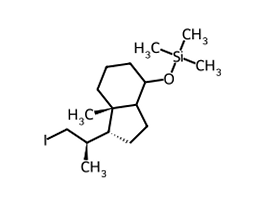 C[C@@H](CI)[C@H]1CCC2C(O[Si](C)(C)C)CCC[C@]21C